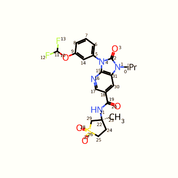 CC(C)n1c(=O)n(-c2cccc(OC(F)F)c2)c2ncc(C(=O)N[C@@]3(C)CCS(=O)(=O)C3)cc21